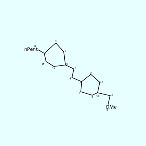 CCCCCC1CCC(CCC2CCC(COC)CC2)CC1